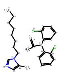 C=C(C)B(c1ccccc1Cl)c1ccccc1Cl.CCCCCCCCn1cncc1C